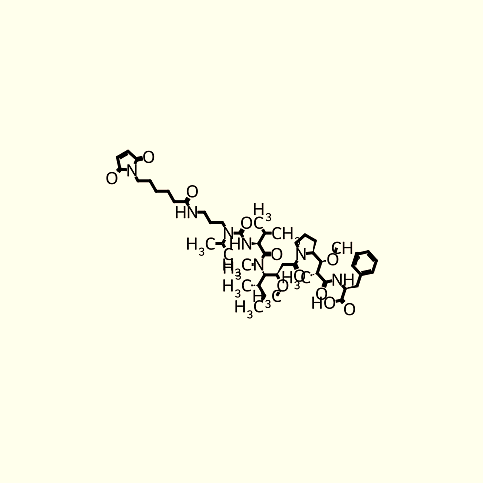 CC[C@H](C)[C@@H]([C@@H](CC(=O)N1CCC[C@H]1[C@H](OC)[C@@H](C)C(=O)N[C@@H](Cc1ccccc1)C(=O)O)OC)N(C)C(=O)[C@@H](NC(=O)N(CCCNC(=O)CCCCCN1C(=O)C=CC1=O)C(C)C)C(C)C